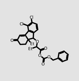 CCC(OC1c2ccc(Cl)c(Cl)c2C2=CC(=O)CCC21CC)C(=O)OC(=O)OCc1ccccc1